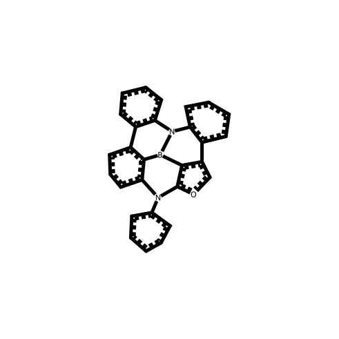 c1ccc(N2c3cccc4c3B3c5c(coc52)-c2ccccc2N3c2ccccc2-4)cc1